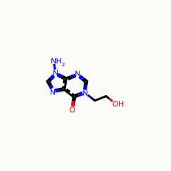 Nn1cnc2c(=O)n(CCO)cnc21